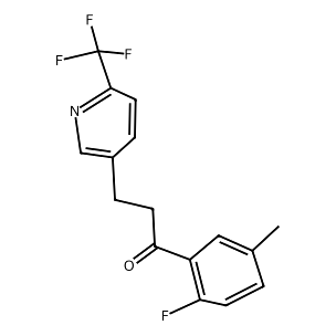 Cc1ccc(F)c(C(=O)CCc2ccc(C(F)(F)F)nc2)c1